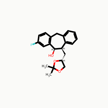 CC1(C)OC[C@@H](C[C@@H]2c3ccccc3Cc3ccc(F)cc3[C@@H]2O)O1